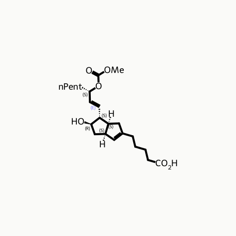 CCCCC[C@@H](/C=C/[C@@H]1[C@H]2CC(CCCCC(=O)O)=C[C@H]2C[C@H]1O)OC(=O)OC